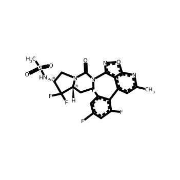 Cc1cc(-c2c(F)cc(F)cc2F)c2c(N3CC[C@H]4N(C[C@@H](NS(C)(=O)=O)C4(F)F)C3=O)noc2n1